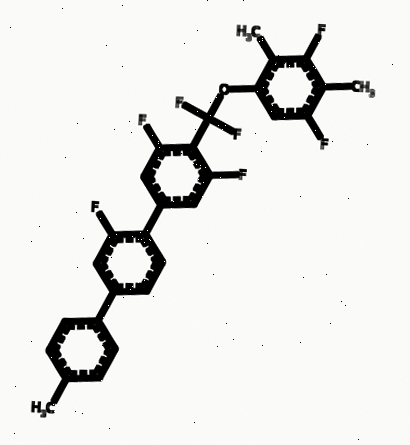 Cc1ccc(-c2ccc(-c3cc(F)c(C(F)(F)Oc4cc(F)c(C)c(F)c4C)c(F)c3)c(F)c2)cc1